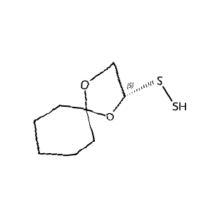 SS[C@H]1COC2(CCCCC2)O1